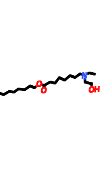 CCCCCCCCCOC(=O)CCCCCCCN(CC)CCO